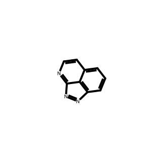 c1cc2c3c(nccc3c1)N=N2